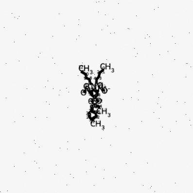 CCCCCCN(CCCCCC)c1c([N+](=O)[O-])cc(S(=O)(=O)N(CC)Sc2ccc(C)cc2)cc1[N+](=O)[O-]